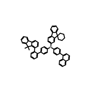 CC1(C)c2ccccc2-c2cccc(-c3ccccc3-c3ccc(N(c4ccc(-c5cccc6ccccc56)cc4)c4ccc5c(c4)C4(CCCCC4)c4ccccc4-5)cc3)c21